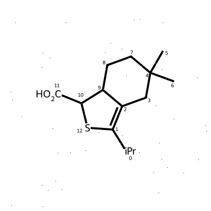 CC(C)C1=C2CC(C)(C)CCC2C(C(=O)O)S1